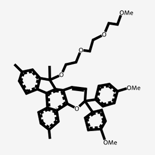 COCCOCCOCCOC1(C)c2cc(C)ccc2-c2c1c1c(c3cc(C)ccc23)OC(c2ccc(OC)cc2)(c2ccc(OC)cc2)C=C1